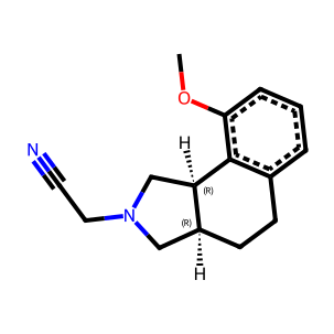 COc1cccc2c1[C@@H]1CN(CC#N)C[C@@H]1CC2